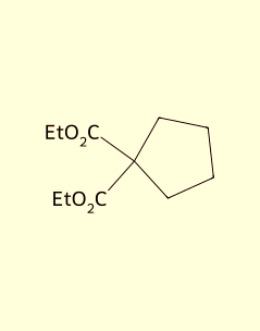 CCOC(=O)C1(C(=O)OCC)CCCC1